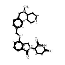 CN(Cc1ccc(COc2cccc3c2CN(C2CCC(=O)NC2=O)C3=O)cc1)C1CCOCC1